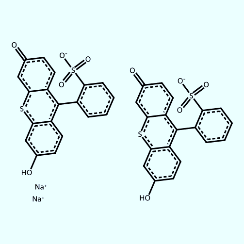 O=c1ccc2c(-c3ccccc3S(=O)(=O)[O-])c3ccc(O)cc3sc-2c1.O=c1ccc2c(-c3ccccc3S(=O)(=O)[O-])c3ccc(O)cc3sc-2c1.[Na+].[Na+]